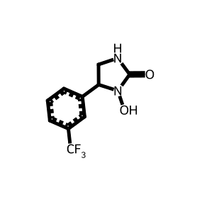 O=C1NCC(c2cccc(C(F)(F)F)c2)N1O